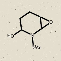 CSN1C(O)CCC2OC21